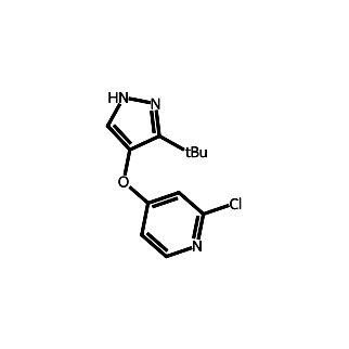 CC(C)(C)c1n[nH]cc1Oc1ccnc(Cl)c1